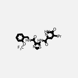 CC(C)c1cc(C(=O)Nc2scnc2C(=O)NCc2ccccc2OC(F)(F)F)n[nH]c1=O